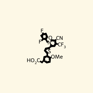 COc1ccc(CC(=O)O)cc1-c1ccc(-c2cc(C(F)(F)F)c(C#N)c(=O)n2Cc2ccc(F)cc2F)s1